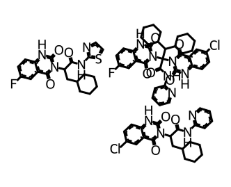 O=C(Nc1ccccn1)C(C(C1CCCCC1)C1CCCCC1)(n1c(=O)[nH]c2ccc(F)cc2c1=O)n1c(=O)[nH]c2ccc(Cl)cc2c1=O.O=C(Nc1ccccn1)C(CC1CCCCC1)n1c(=O)[nH]c2ccc(Cl)cc2c1=O.O=C(Nc1nccs1)C(CC1CCCCC1)n1c(=O)[nH]c2ccc(F)cc2c1=O